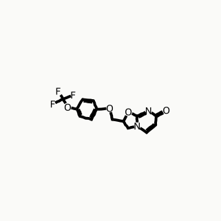 O=c1ccn2c(n1)OC(COc1ccc(OC(F)(F)F)cc1)C2